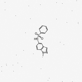 Cn1ncc2cc(NS(=O)(=O)c3ccccc3)ccc21